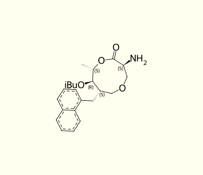 CC(C)CO[C@@H]1[C@@H](Cc2cccc3ccccc23)COC[C@H](N)C(=O)O[C@H]1C